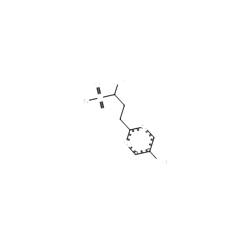 Cc1cnc(CCC(C)S(N)(=O)=O)nc1